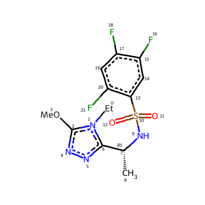 CCn1c(OC)nnc1[C@@H](C)NS(=O)(=O)c1cc(F)c(F)cc1F